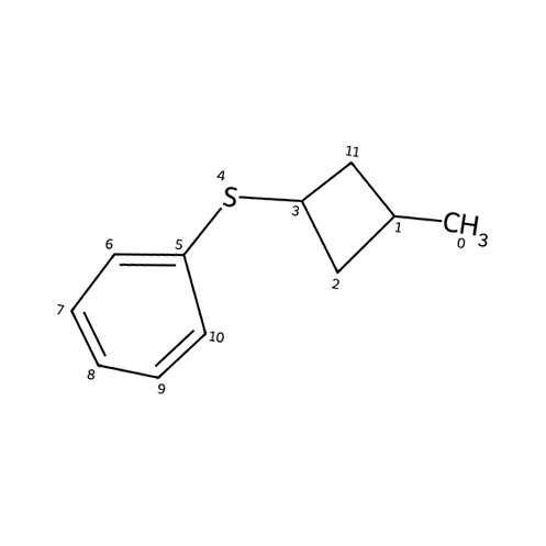 CC1CC(Sc2ccccc2)C1